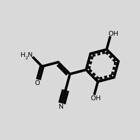 N#CC(=CC(N)=O)c1cc(O)ccc1O